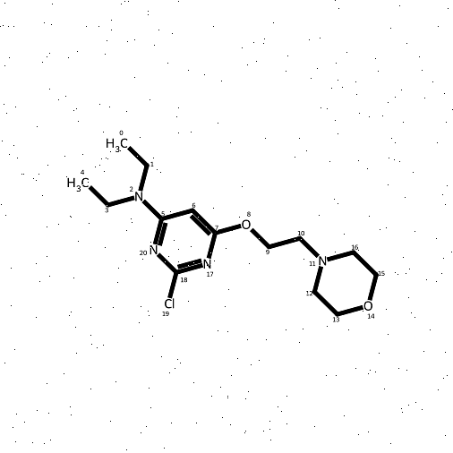 CCN(CC)c1cc(OCCN2CCOCC2)nc(Cl)n1